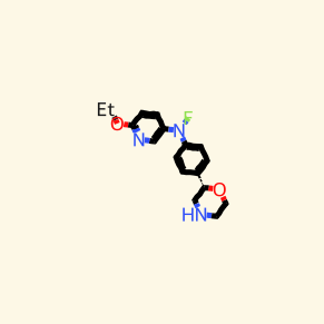 CCOc1ccc(N(F)c2ccc([C@H]3CNCCO3)cc2)cn1